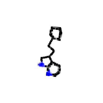 c1ccc(CCC2CNc3ncccc32)cc1